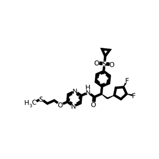 CSCCOc1cnc(NC(=O)[C@H](C[C@H]2C[C@@H](F)[C@@H](F)C2)c2ccc(S(=O)(=O)C3CC3)cc2)cn1